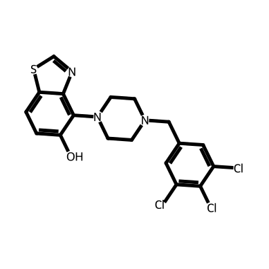 Oc1ccc2scnc2c1N1CCN(Cc2cc(Cl)c(Cl)c(Cl)c2)CC1